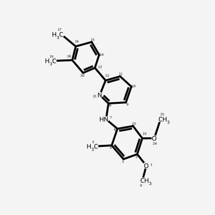 COc1cc(C)c(Nc2cccc(-c3ccc(C)c(C)c3)n2)cc1OC